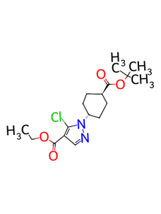 CCOC(=O)c1cnn([C@H]2CC[C@H](C(=O)OC(C)(C)C)CC2)c1Cl